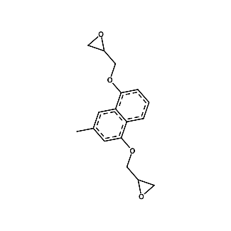 Cc1cc(OCC2CO2)c2cccc(OCC3CO3)c2c1